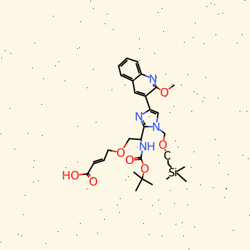 COc1nc2ccccc2cc1-c1cn(COCC[Si](C)(C)C)c(C(COC/C=C/C(=O)O)NC(=O)OC(C)(C)C)n1